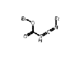 CCN=C=[SH]C(=O)OCC